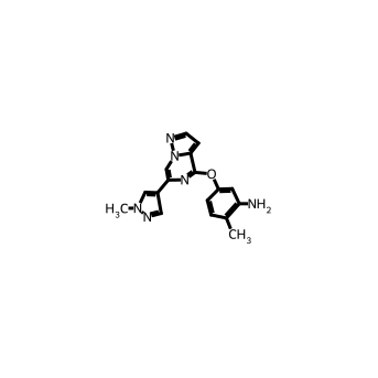 Cc1ccc(Oc2nc(-c3cnn(C)c3)cn3nccc23)cc1N